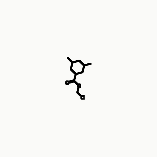 CC1CC(C)CC(C(=O)OCCl)C1